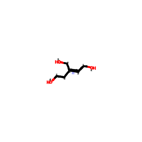 OC/C=C(\CO)CCO